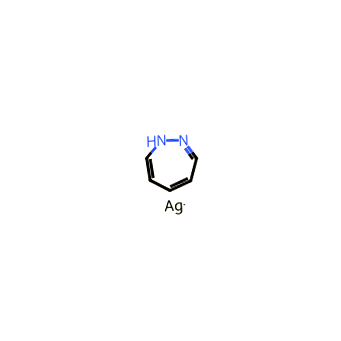 C1=CC=NNC=C1.[Ag]